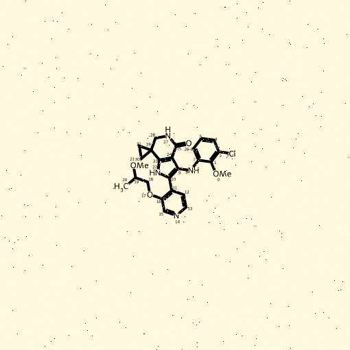 COc1c(Cl)cccc1Nc1c(-c2ccncc2OCC(C)OC)[nH]c2c1C(=O)NCC21CC1